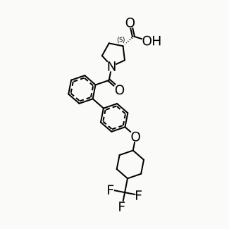 O=C(O)[C@H]1CCN(C(=O)c2ccccc2-c2ccc(OC3CCC(C(F)(F)F)CC3)cc2)C1